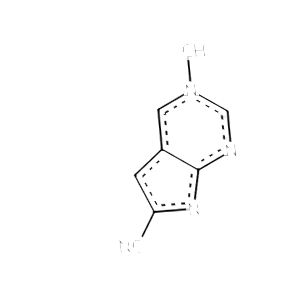 Cn1cnc2nc(C#N)cc-2c1